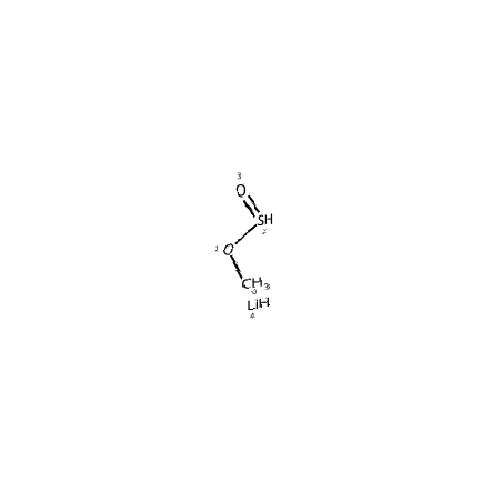 CO[SH]=O.[LiH]